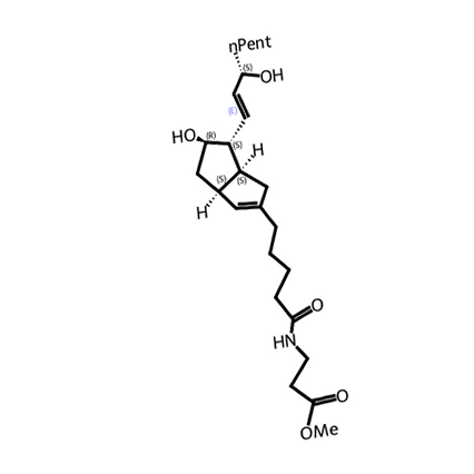 CCCCC[C@H](O)/C=C/[C@@H]1[C@H]2CC(CCCCC(=O)NCCC(=O)OC)=C[C@H]2C[C@H]1O